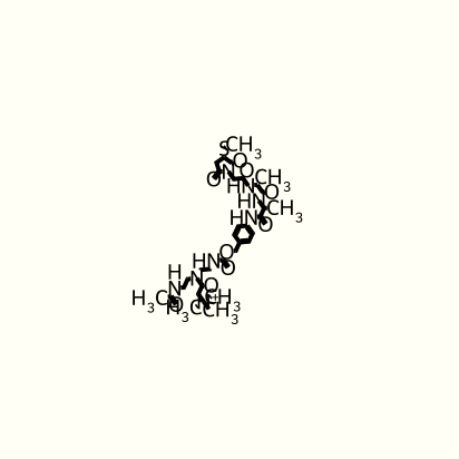 CSC1CC(=O)N(CC(=O)NC(C)C(=O)NC(C)C(=O)Nc2ccc(COC(=O)NCCN(CCNC(C)=O)C(=O)C[N+](C)(C)C)cc2)C1=O